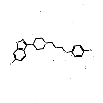 CC(=O)c1ccc(OCCCN2CCC(c3noc4cc(F)ccc34)CC2)cc1